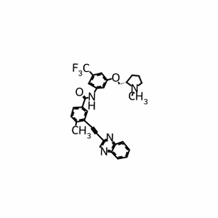 Cc1ccc(C(=O)Nc2cc(OC[C@@H]3CCCN3C)cc(C(F)(F)F)c2)cc1C#Cc1cnc2ccccc2n1